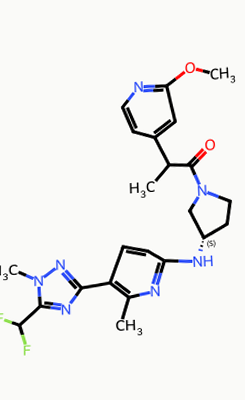 COc1cc(C(C)C(=O)N2CC[C@H](Nc3ccc(-c4nc(C(F)F)n(C)n4)c(C)n3)C2)ccn1